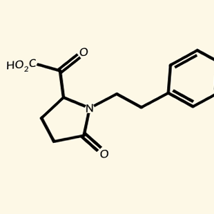 O=C(O)C(=O)C1CCC(=O)N1CCc1ccccc1